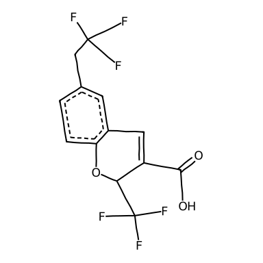 O=C(O)C1=Cc2cc(CC(F)(F)F)ccc2OC1C(F)(F)F